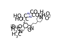 CC(C)COc1ccc2c(CCC3CCN(CC4OCCO4)CC3)noc2c1CN(C)C.O=C(O)/C=C/C(=O)O.O=C(O)/C=C/C(=O)O